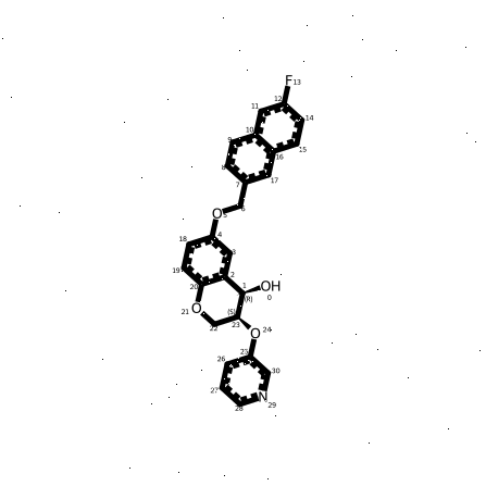 O[C@@H]1c2cc(OCc3ccc4cc(F)ccc4c3)ccc2OC[C@@H]1Oc1cccnc1